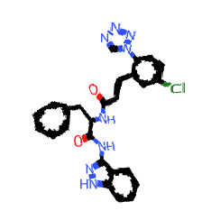 O=C(/C=C/c1cc(Cl)ccc1-n1cnnn1)NC(Cc1ccccc1)C(=O)Nc1n[nH]c2ccccc12